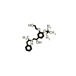 C[C@H](Cc1ccccc1)NC[C@H](O)c1ccc(OC(C)(C)C)c(OCCO)c1